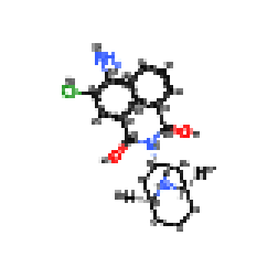 CN1[C@@H]2CCC[C@H]1C[C@H](N1C(=O)c3cccc4c(N)c(Cl)cc(c34)C1=O)C2